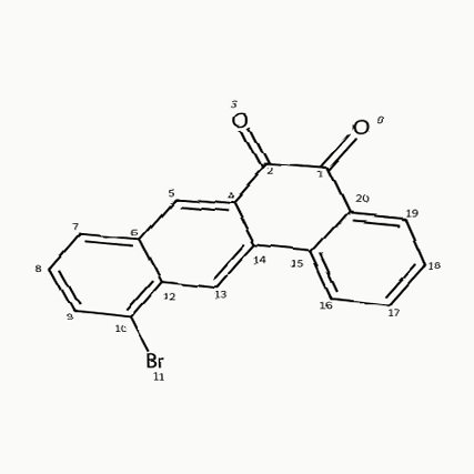 O=C1C(=O)c2cc3cccc(Br)c3cc2-c2ccccc21